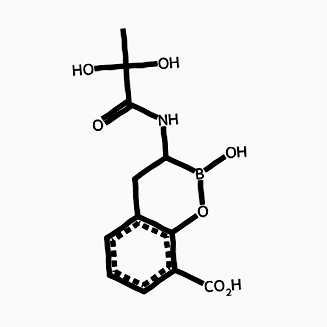 CC(O)(O)C(=O)NC1Cc2cccc(C(=O)O)c2OB1O